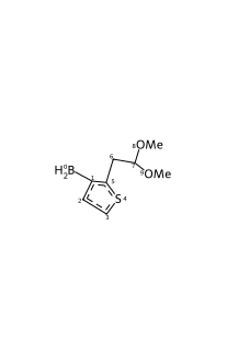 Bc1ccsc1CC(OC)OC